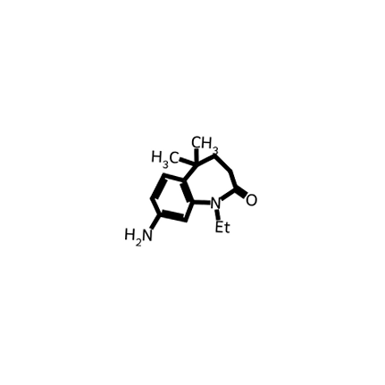 CCN1C(=O)CCC(C)(C)c2ccc(N)cc21